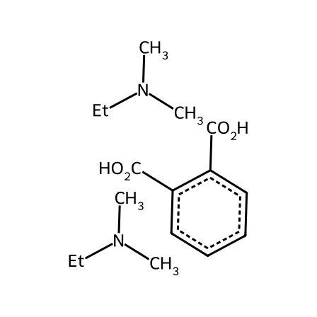 CCN(C)C.CCN(C)C.O=C(O)c1ccccc1C(=O)O